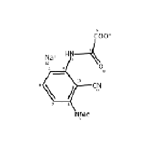 CNc1cccc(NC(=O)C(=O)[O-])c1C#N.[Na+]